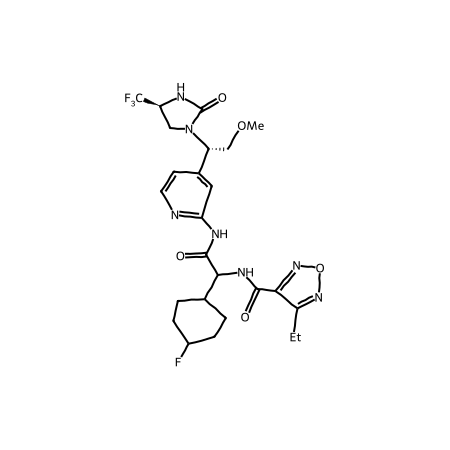 CCc1nonc1C(=O)NC(C(=O)Nc1cc([C@@H](COC)N2C[C@@H](C(F)(F)F)NC2=O)ccn1)C1CCC(F)CC1